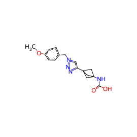 COc1ccc(Cn2cc(C34CC(NC(=O)O)(C3)C4)nn2)cc1